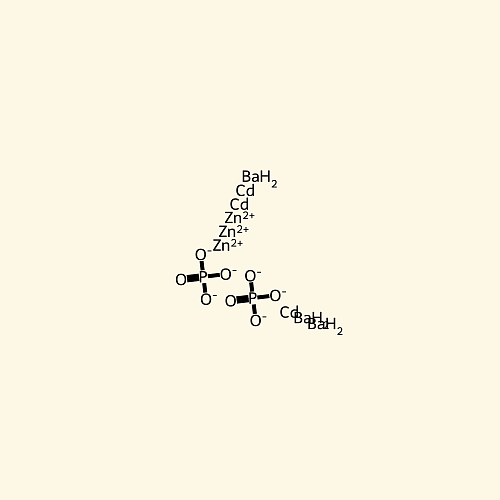 O=P([O-])([O-])[O-].O=P([O-])([O-])[O-].[BaH2].[BaH2].[BaH2].[Cd].[Cd].[Cd].[Zn+2].[Zn+2].[Zn+2]